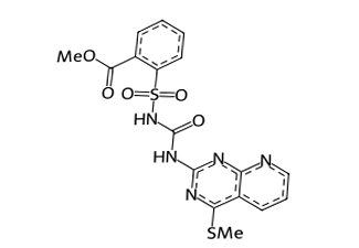 COC(=O)c1ccccc1S(=O)(=O)NC(=O)Nc1nc(SC)c2cccnc2n1